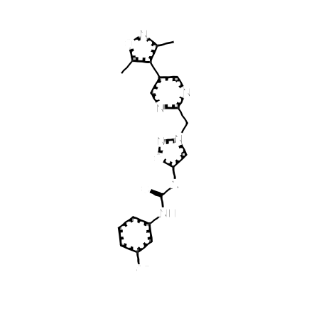 Cc1noc(C)c1-c1cnc(C[n+]2cc([N-]C(=O)Nc3cccc(C(F)(F)F)c3)on2)nc1